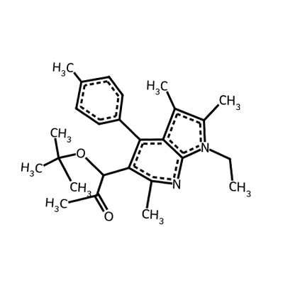 CCn1c(C)c(C)c2c(-c3ccc(C)cc3)c(C(OC(C)(C)C)C(C)=O)c(C)nc21